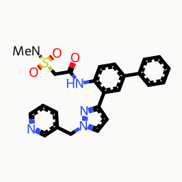 CNS(=O)(=O)CC(=O)Nc1ccc(-c2ccccc2)cc1-c1ccn(Cc2cccnc2)n1